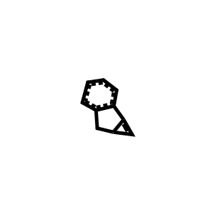 C1=C2c3ccccc3CC12